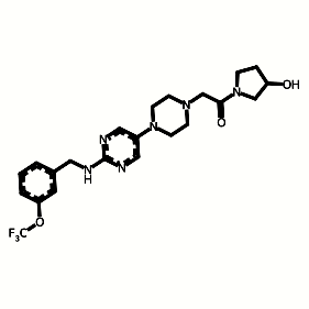 O=C(CN1CCN(c2cnc(NCc3cccc(OC(F)(F)F)c3)nc2)CC1)N1CCC(O)C1